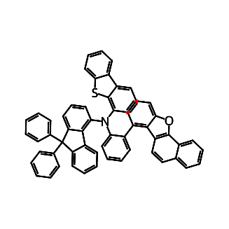 c1ccc(C2(c3ccccc3)c3ccccc3-c3c(N(c4ccccc4-c4cccc5oc6c7ccccc7ccc6c45)c4cccc5c4sc4ccccc45)cccc32)cc1